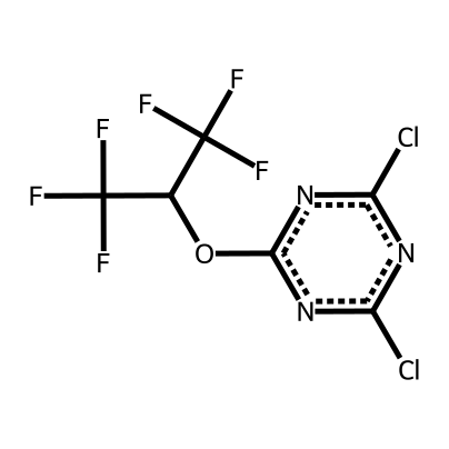 FC(F)(F)C(Oc1nc(Cl)nc(Cl)n1)C(F)(F)F